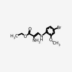 CCOC(=O)C(N)=CNc1ccc(Br)cc1OC